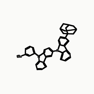 CC(C)(C)c1cccc(-n2c3ccccc3c3cc(-n4c5ccccc5c5cc(C67CC8CC(CC(C8)C6)C7)ccc54)ccc32)c1